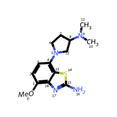 COc1ccc(N2CCC(N(C)C)C2)c2sc(N)nc12